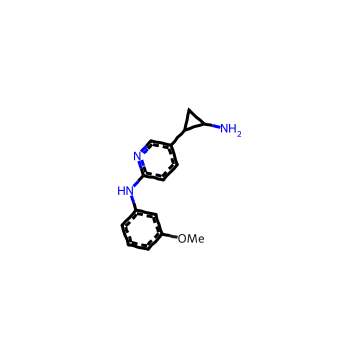 COc1cccc(Nc2ccc(C3CC3N)cn2)c1